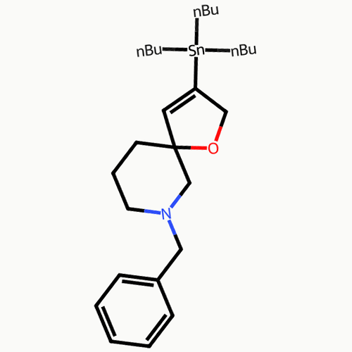 CCC[CH2][Sn]([CH2]CCC)([CH2]CCC)[C]1=CC2(CCCN(Cc3ccccc3)C2)OC1